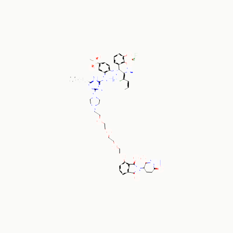 C=N/C(=C(Cl)\C=C/C)[C@@H](Nc1ccc(S(C)(=O)=O)cc1Nc1nc(OC)nc(N2CCN(CCOCCOCCOCCOc3cccc4c3C(=O)N(C3CCC(=O)NC3=O)C4=O)CC2)n1)c1cccc2c1OC(F)(F)O2